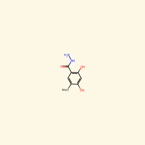 COc1cc(C(=O)NN)c(O)cc1O